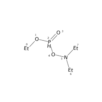 CCO[PH](=O)ON(CC)CC